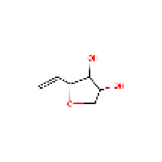 C=CC1OCC(O)C1O